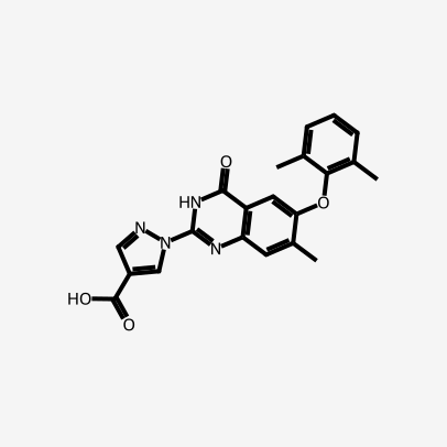 Cc1cc2nc(-n3cc(C(=O)O)cn3)[nH]c(=O)c2cc1Oc1c(C)cccc1C